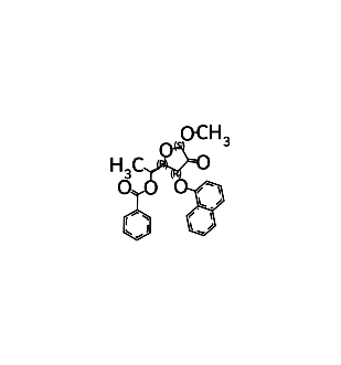 CO[C@H]1O[C@H](C(C)OC(=O)c2ccccc2)[C@@H](Oc2cccc3ccccc23)C1=O